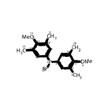 COc1c(C)cc(P(Br)c2cc(C)c(OC)c(C)c2)cc1C